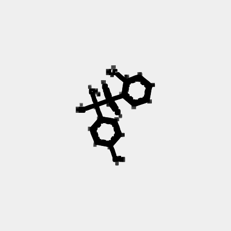 CC(=O)Oc1ccc(C(C)(O)S(=O)(=O)c2ccccc2C)cc1